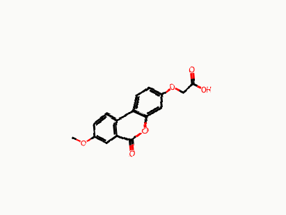 COc1ccc2c(c1)c(=O)oc1cc(OCC(=O)O)ccc12